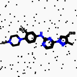 CC(=O)N1CCN(c2ccc(Nc3nccc(-n4cc(C=O)c(C)n4)n3)cc2[N+](=O)[O-])CC1